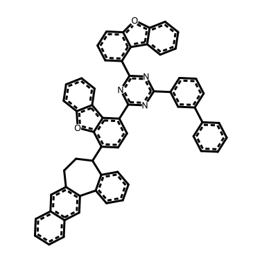 c1ccc(-c2cccc(-c3nc(-c4cccc5oc6ccccc6c45)nc(-c4ccc(C5CCc6cc7ccccc7cc6-c6ccccc65)c5oc6ccccc6c45)n3)c2)cc1